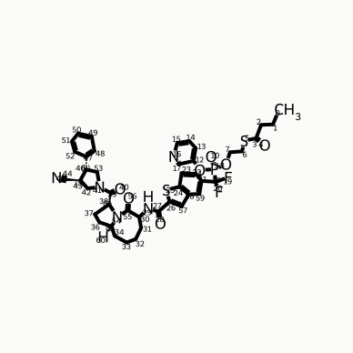 CCCC(=O)SCCOP(=O)(Oc1cccnc1)C(F)(F)c1ccc2sc(C(=O)NC3CCCC[C@H]4CC[C@@H](C(=O)N5C[C@@H](C#N)[C@H](c6ccccc6)C5)N4C3=O)cc2c1